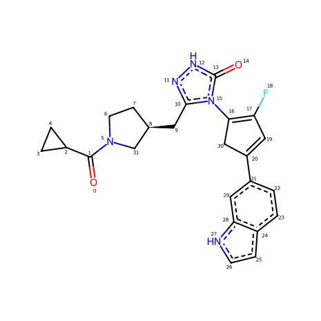 O=C(C1CC1)N1CC[C@@H](Cc2n[nH]c(=O)n2C2=C(F)C=C(c3ccc4cc[nH]c4c3)C2)C1